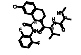 CN[C@@H](C)C(=O)N[C@H](C(=O)N1CCc2ccc(Cl)cc2[C@H]1C(=O)Nc1c(F)cccc1F)C(C)C